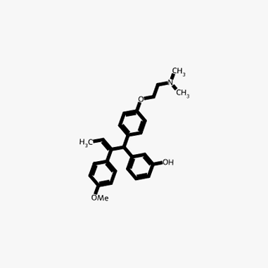 C/C=C(\c1ccc(OC)cc1)C(c1ccc(OCCN(C)C)cc1)c1cccc(O)c1